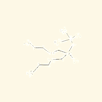 C[Si](C)(C)O[Si](C)(CNCCN)CNCCN